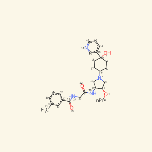 CCCO[C@@H]1CN(C2CCC(O)(c3cccnc3)CC2)C[C@@H]1NC(=O)CNC(=O)c1cccc(C(F)(F)F)c1